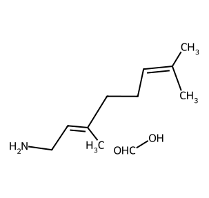 CC(C)=CCC/C(C)=C/CN.O=CO